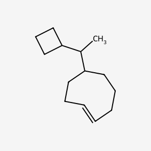 CC(C1CC/C=C/CCC1)C1CCC1